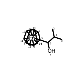 CC(C)C(O)[C]12[CH]3[CH]4[CH]5[CH]1[Fe]45321678[CH]2[CH]1[CH]6[CH]7[CH]28